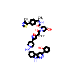 Cc1ncsc1-c1ccc([C@H](C)NC(=O)[C@@H]2C[C@@H](O)CN2C(=O)[C@@H](c2cc(C3CCN(N[C@H]4CCc5[nH]c6nnc(-c7ccccc7O)cc6c5C4)CC3)no2)C(C)C)cc1